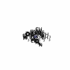 C=NN(/C(=C\C)c1c(C)n(-c2cccc(C(F)(F)F)c2)c(=O)n1C(=O)N[C@@H](C)c1nnc(CN(C)C)o1)c1ccc(C#N)cc1